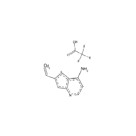 C=Cc1cc2nccc(N)c2s1.O=C(O)C(F)(F)F